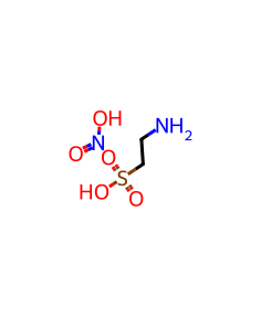 NCCS(=O)(=O)O.O=NO